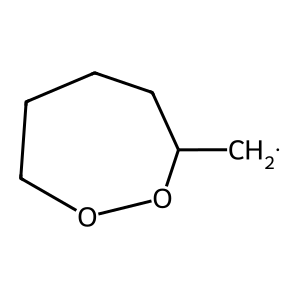 [CH2]C1CCCCOO1